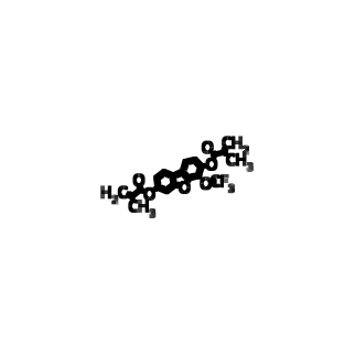 C=C(C)C(=O)Oc1ccc2c(c1)oc1c(OC(F)(F)F)c(OC(=O)C(=C)C)ccc12